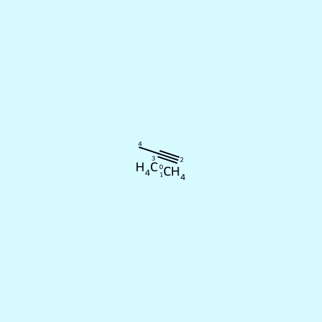 C.C.C#CC